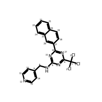 ClC(Cl)(Cl)c1nc(NCc2ccncc2)nc(-c2ccc3ccccc3c2)n1